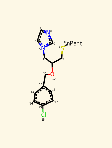 CCCCCSCC(Cn1ccnc1)OCc1ccc(Cl)cc1